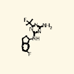 CC(C)(F)c1nc(N)nc(NC2CCc3ccc(F)cc32)n1